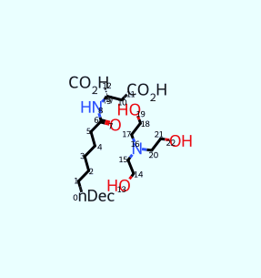 CCCCCCCCCCCCCCCC(=O)N[C@@H](CC(=O)O)C(=O)O.OCCN(CCO)CCO